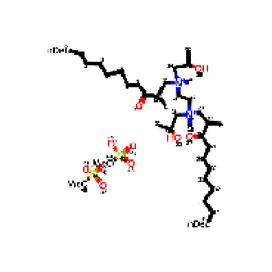 CCCCCCCCCCCCCCCCCC(=O)C(C)C[N+](C)(CC[N+](C)(CC(C)O)CC(C)C(=O)CCCCCCCCCCCCCCCCC)CC(C)O.COS(=O)(=O)[O-].COS(=O)(=O)[O-]